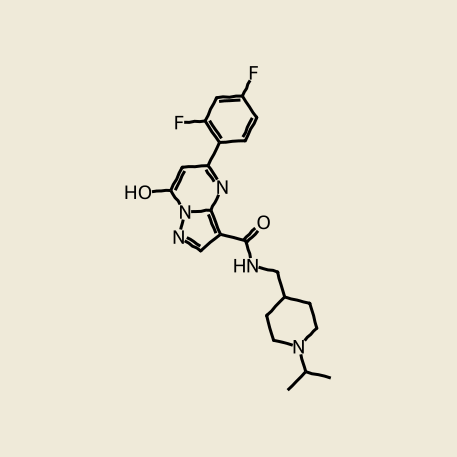 CC(C)N1CCC(CNC(=O)c2cnn3c(O)cc(-c4ccc(F)cc4F)nc23)CC1